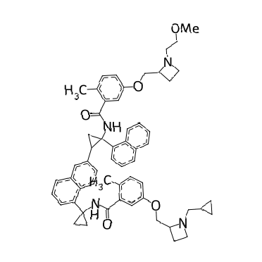 COCCN1CCC1COc1ccc(C)c(C(=O)NC2(c3cccc4ccccc34)CC2c2ccc3c(C4(NC(=O)c5cc(OCC6CCN6CC6CC6)ccc5C)CC4)cccc3c2)c1